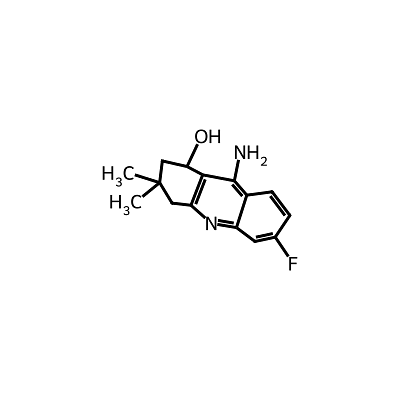 CC1(C)Cc2nc3cc(F)ccc3c(N)c2C(O)C1